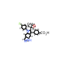 COCC1(c2c(-c3ccc(C(=O)O)cc3)c3cc4[nH]ncc4cc3n2-c2ccc(F)cc2)COC1